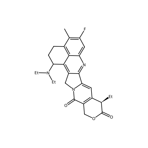 CC[C@H]1C(=O)OCc2c1cc1n(c2=O)Cc2c-1nc1cc(F)c(C)c3c1c2C(N(CC)CC)CC3